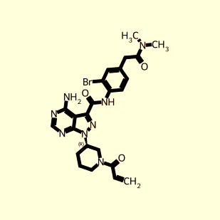 C=CC(=O)N1CCC[C@@H](n2nc(C(=O)Nc3ccc(CC(=O)N(C)C)cc3Br)c3c(N)ncnc32)C1